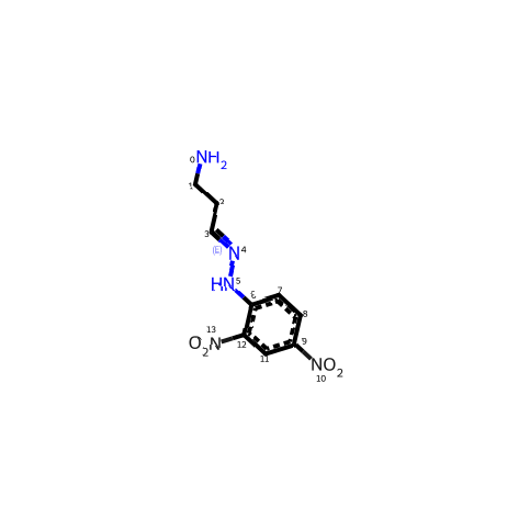 NCC/C=N/Nc1ccc([N+](=O)[O-])cc1[N+](=O)[O-]